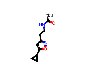 CC(C)(C)C(=O)NCCc1cc(C2CC2)on1